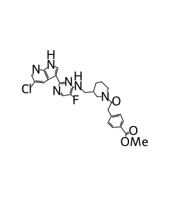 COC(=O)c1ccc(CC(=O)N2CCCC(CNc3nc(-c4c[nH]c5ncc(Cl)cc45)ncc3F)C2)cc1